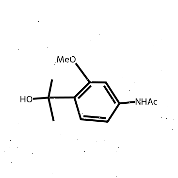 COc1cc(NC(C)=O)ccc1C(C)(C)O